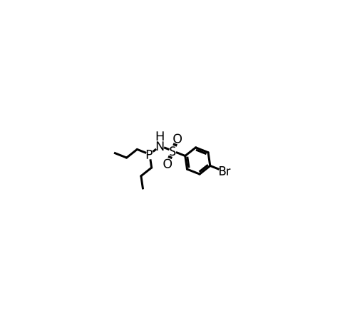 CCCP(CCC)NS(=O)(=O)c1ccc(Br)cc1